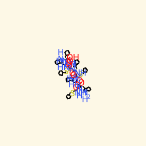 N[C@@H](CSCc1ccccc1)C(=O)N[C@@H](Cc1c[nH]c2ccccc12)C(=O)N[C@@H](Cc1c[nH]c2ccccc12)C(=O)N[C@@H](CSCc1ccccc1)C(=O)N[C@@H](Cc1c[nH]c2ccccc12)C(=O)N[C@@H](CSCc1ccccc1)C(=O)N[C@@H](Cc1c[nH]c2ccccc12)C(=O)N[C@@H](Cc1ccccc1)C(=O)O